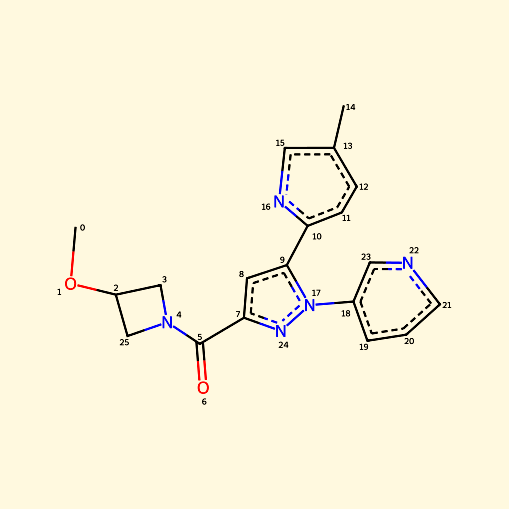 COC1CN(C(=O)c2cc(-c3ccc(C)cn3)n(-c3cccnc3)n2)C1